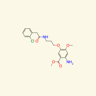 COC(=O)c1cc(OCCCNC(=O)Cc2ccccc2Cl)c(OC)cc1N